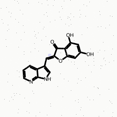 O=C1/C(=C/c2c[nH]c3ncccc23)Oc2cc(O)cc(O)c21